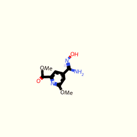 COC(=O)c1cc(/C(N)=N/O)cc(OC)n1